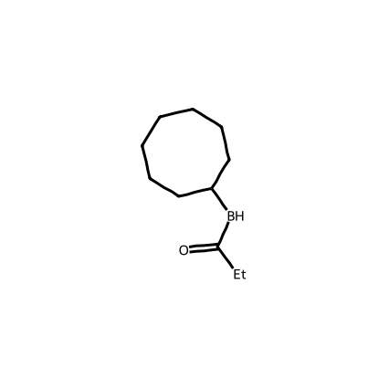 CCC(=O)BC1CCCCCCC1